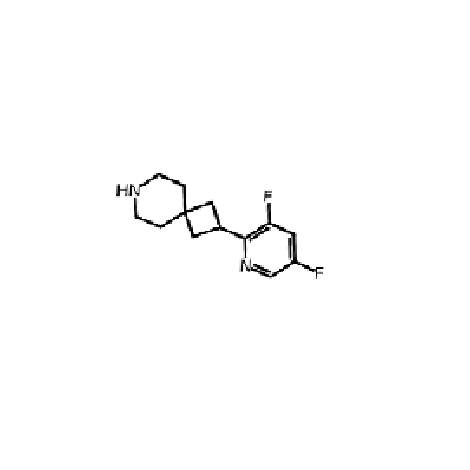 Fc1cnc(C2CC3(CCNCC3)C2)c(F)c1